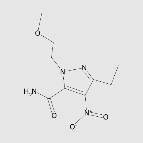 CCc1nn(CCOC)c(C(N)=O)c1[N+](=O)[O-]